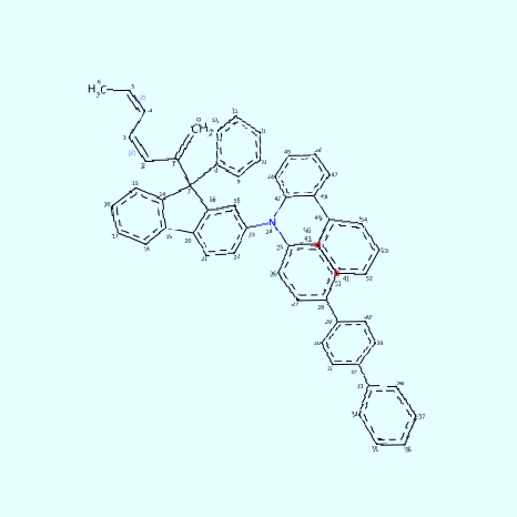 C=C(/C=C\C=C/C)C1(c2ccccc2)c2ccccc2-c2ccc(N(c3ccc(-c4ccc(-c5ccccc5)cc4)cc3)c3ccccc3-c3ccccc3)cc21